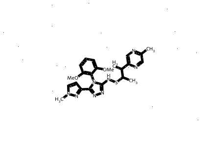 COc1cccc(OC)c1-n1c(NSC(C)C(C)c2cnc(C)cn2)nnc1-c1ccn(C)n1